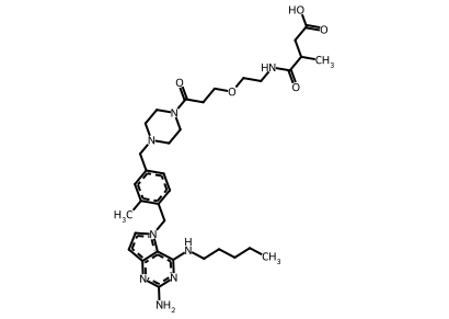 CCCCCNc1nc(N)nc2ccn(Cc3ccc(CN4CCN(C(=O)CCOCCNC(=O)C(C)CC(=O)O)CC4)cc3C)c12